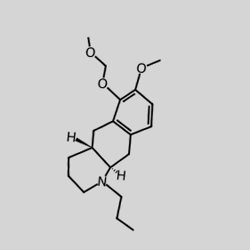 CCCN1CCC[C@@H]2Cc3c(ccc(OC)c3OCOC)C[C@H]21